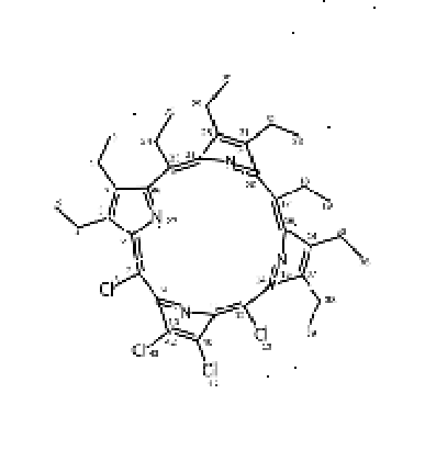 CCC1=C(CC)C2=C(Cl)C3=NC(=C(Cl)C4=NC(=C(CC)C5=NC(=C(CC)C1=N2)C(CC)=C5CC)C(CC)=C4CC)C(Cl)=C3Cl